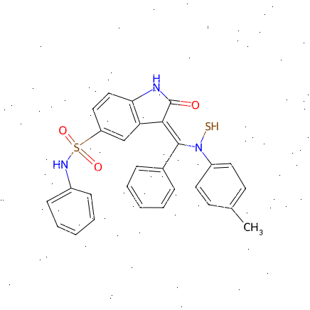 Cc1ccc(N(S)/C(=C2\C(=O)Nc3ccc(S(=O)(=O)Nc4ccccc4)cc32)c2ccccc2)cc1